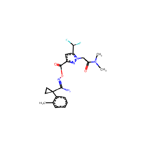 Cc1ccccc1C1(/C(N)=N/OC(=O)c2cc(C(F)F)n(CC(=O)N(C)C)n2)CC1